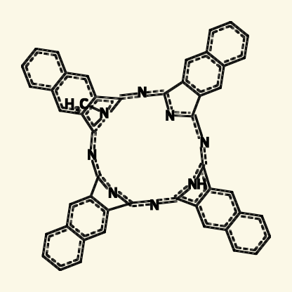 Cn1c2nc3nc(nc4[nH]c(nc5nc(nc1c1cc6ccccc6cc12)-c1cc2ccccc2cc1-5)c1cc2ccccc2cc41)-c1cc2ccccc2cc1-3